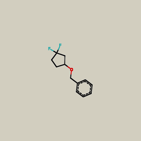 FC1(F)CCC(OCc2ccccc2)C1